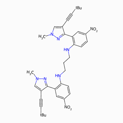 Cn1cc(C#CC(C)(C)C)c(-c2cc([N+](=O)[O-])ccc2NCCCNc2ccc([N+](=O)[O-])cc2-c2nn(C)cc2C#CC(C)(C)C)n1